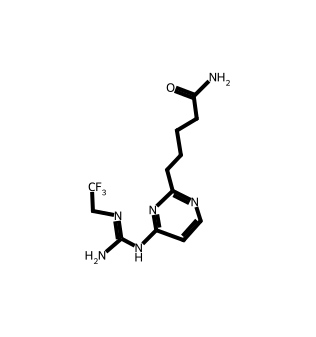 NC(=O)CCCCc1nccc(NC(N)=NCC(F)(F)F)n1